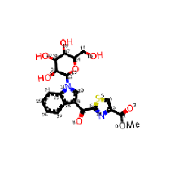 COC(=O)c1csc(C(=O)c2cn(C3OC(CO)C(O)C(O)C3O)c3ccccc23)n1